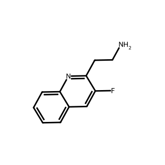 NCCc1nc2ccccc2cc1F